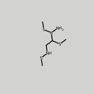 CSNCC(SC)N(N)SC